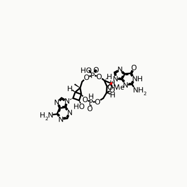 CO[C@H]1[C@H]2OP(=O)(O)OC[C@@]3(C)[C@H]4[C@@H](n5cnc6c(N)ncnc65)[C@H](O)[C@]43O[PH](=O)OC[C@H]1O[C@H]2n1cnc2c(=O)[nH]c(N)nc21